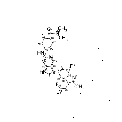 Cc1nc2c(F)cc(-c3c[nH]c4nc(N[C@H]5CC[C@@H](C(=O)N(C)C)CC5)ncc34)cc2n1CC(F)F